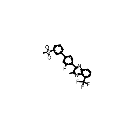 Cc1nc2c(C(F)(F)F)cccc2nc1-c1ccc(-c2cccc(S(C)(=O)=O)c2)cc1F